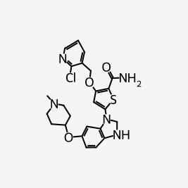 CN1CCC(Oc2ccc3c(c2)N(c2cc(OCc4cccnc4Cl)c(C(N)=O)s2)CN3)CC1